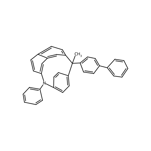 CC1(c2ccc(-c3ccccc3)cc2)c2ccc(cc2)N(c2ccccc2)c2ccc3ccc1cc3c2